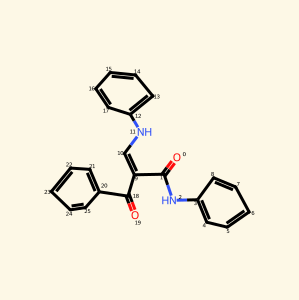 O=C(Nc1ccccc1)/C(=C\Nc1ccccc1)C(=O)c1ccccc1